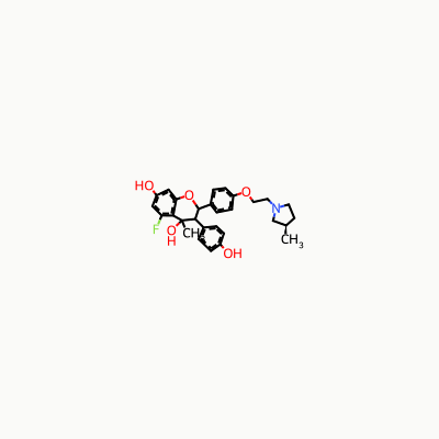 C[C@@H]1CCN(CCOc2ccc(C3Oc4cc(O)cc(F)c4C(C)(O)C3c3ccc(O)cc3)cc2)C1